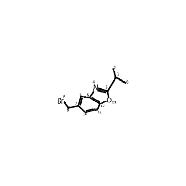 CC(C)c1nc2cc(CBr)ccc2o1